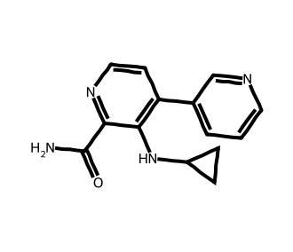 NC(=O)c1nccc(-c2cccnc2)c1NC1CC1